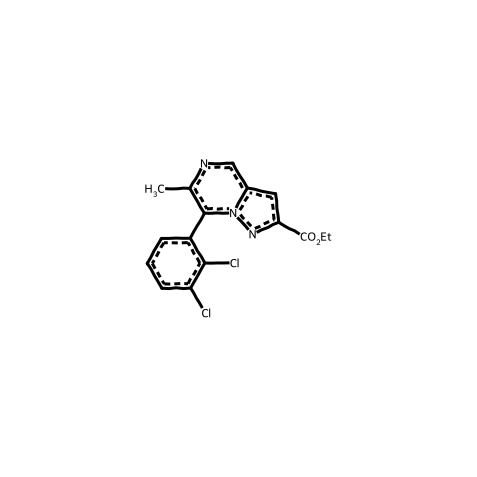 CCOC(=O)c1cc2cnc(C)c(-c3cccc(Cl)c3Cl)n2n1